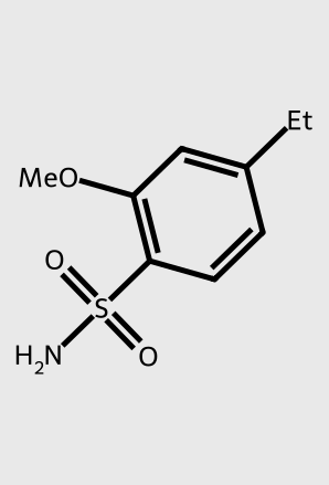 CCc1ccc(S(N)(=O)=O)c(OC)c1